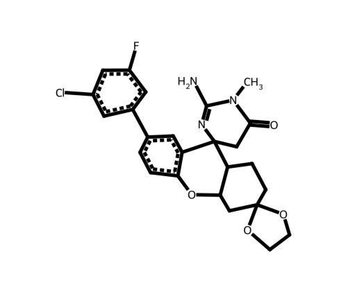 CN1C(=O)CC2(N=C1N)c1cc(-c3cc(F)cc(Cl)c3)ccc1OC1CC3(CCC12)OCCO3